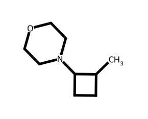 CC1CCC1N1CCOCC1